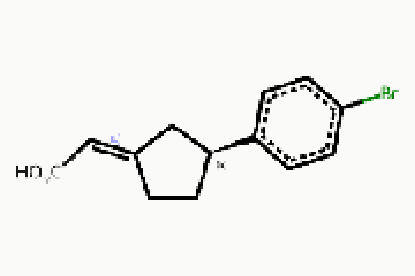 O=C(O)/C=C1\CC[C@H](c2ccc(Br)cc2)C1